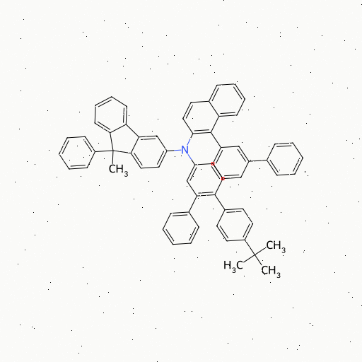 CC(C)(C)c1ccc(-c2ccc(N(c3ccc4c(c3)-c3ccccc3C4(C)c3ccccc3)c3ccc4ccccc4c3-c3cccc(-c4ccccc4)c3)cc2-c2ccccc2)cc1